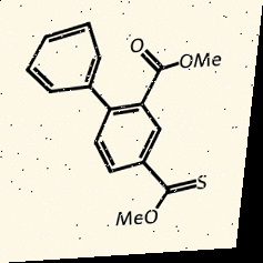 COC(=O)c1cc(C(=S)OC)ccc1-c1ccccc1